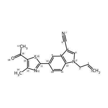 C=CCn1cc(C#N)c2cc(-c3nc(C)c(C(C)=O)s3)ccc21